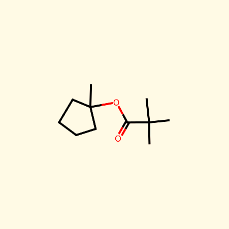 CC1(OC(=O)C(C)(C)C)CCCC1